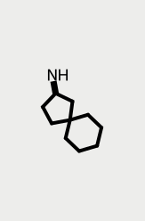 N=C1CCC2(CCCCC2)C1